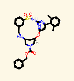 Cc1cccc(C)c1-c1cc2nc(n1)NS(=O)(=O)c1cccc(c1)CNC1C[C@@H](CN(C(=O)OCc3ccccc3)C1)O2